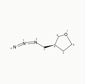 [N-]=[N+]=NC[C@@H]1CCOC1